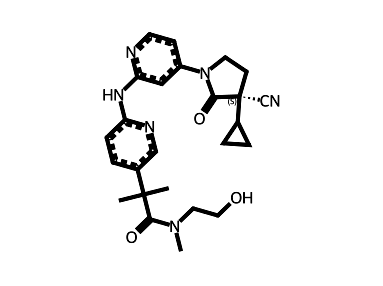 CN(CCO)C(=O)C(C)(C)c1ccc(Nc2cc(N3CC[C@@](C#N)(C4CC4)C3=O)ccn2)nc1